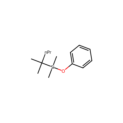 CCCC(C)(C)[Si](C)(C)Oc1ccccc1